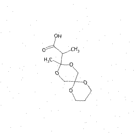 CC(C(=O)O)C1(C)OCC2(CO1)OCCCO2